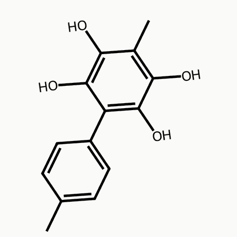 Cc1ccc(-c2c(O)c(O)c(C)c(O)c2O)cc1